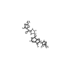 CCc1nc(C)c(C(=O)N2CCC(Oc3ncnc4c3nc(-c3cnn(CC)c3C)n4C)C2)o1